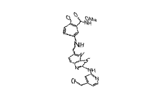 CONC(=O)c1cc(NCc2ccc3nc(Nc4cc(CCl)ccn4)sc3n2)ccc1Cl